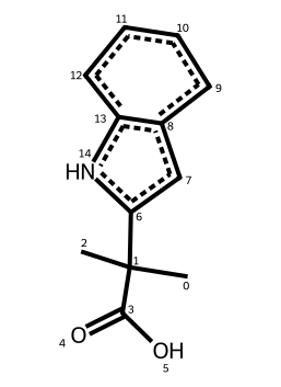 CC(C)(C(=O)O)c1cc2ccccc2[nH]1